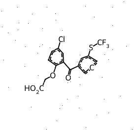 O=C(O)COc1ccc(Cl)cc1C(=O)c1cccc(SC(F)(F)F)c1